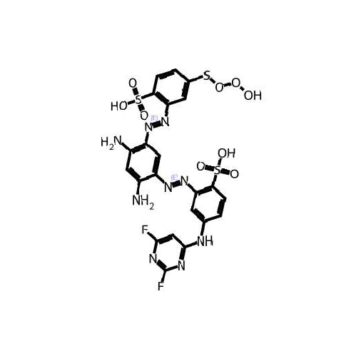 Nc1cc(N)c(/N=N/c2cc(SOOO)ccc2S(=O)(=O)O)cc1/N=N/c1cc(Nc2cc(F)nc(F)n2)ccc1S(=O)(=O)O